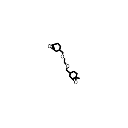 CC12CCC(COCCOCC3CCC4(C)OC4C3)CC1O2